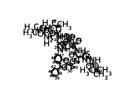 CC(C)(C)OC(=O)NCC[C@H](NC(=O)OC(C)(C)C)c1cnn(C[C@@H]2[C@H](NC(=O)C(=NOC3(C(=O)OC(c4ccccc4)c4ccccc4)CC3)c3csc(NC(=O)OC(C)(C)C)n3)C(=O)N2S(=O)(=O)O)n1